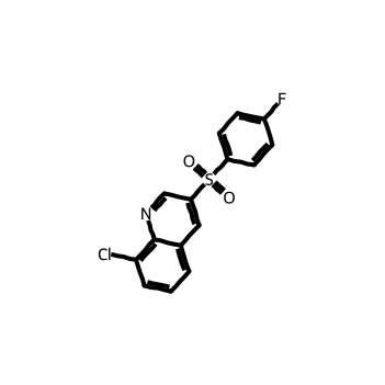 O=S(=O)(c1ccc(F)cc1)c1cnc2c(Cl)cccc2c1